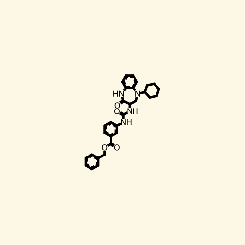 O=C(Nc1cccc(C(=O)OCc2ccccc2)c1)NC1CN(C2CCCCC2)c2ccccc2NC1=O